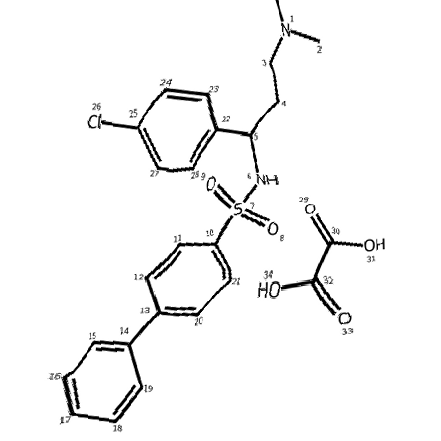 CN(C)CCC(NS(=O)(=O)c1ccc(-c2ccccc2)cc1)c1ccc(Cl)cc1.O=C(O)C(=O)O